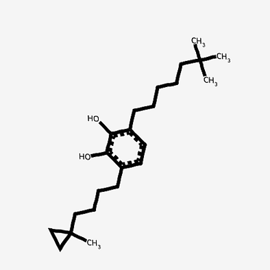 CC(C)(C)CCCCCc1ccc(CCCCC2(C)CC2)c(O)c1O